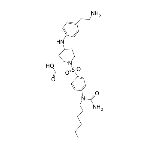 CCCCCCN(C(N)=O)c1ccc(S(=O)(=O)N2CCC(Nc3ccc(CCN)cc3)CC2)cc1.O=CO